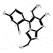 Cc1nc2nc(CO)cn2c(-c2ccc(Cl)cc2Cl)c1CN